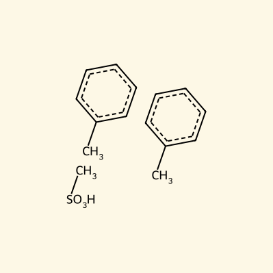 CS(=O)(=O)O.Cc1ccccc1.Cc1ccccc1